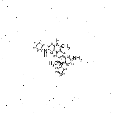 CC(Nc1ccc(Nc2ccccc2)cc1)c1ccc(C(C)N(c2ccccc2)c2ccc(N)cc2)cc1